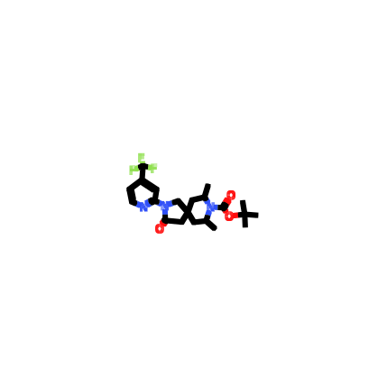 CC1CC2(CC(=O)N(c3cc(C(F)(F)F)ccn3)C2)CC(C)N1C(=O)OC(C)(C)C